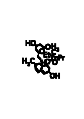 CCCC(C)(CC)C(=O)O[C@H]1C[C@H](O)C=C2C=C[C@H](C)[C@H](CC[C@@H]3C[C@@H](O)CC(=O)O3)[C@H]21